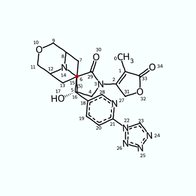 CC1=C(N2CCC3(CC4COCC(C3)N4C[C@@H](O)c3ccc(-n4cnnn4)nc3)C2=O)COC1=O